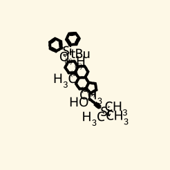 CC(C)(C)[Si](O[C@@H]1CC[C@]2(C)C3CC[C@@]4(C)C(CC[C@@H]4C(O)C#C[Si](C)(C)C)C3CC[C@H]2C1)(c1ccccc1)c1ccccc1